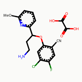 COc1cccc(C(CCN)Oc2cc(Cl)c(F)cc2C#N)n1.O=C(O)C(=O)O